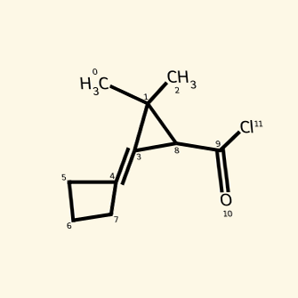 CC1(C)C(=C2CCC2)C1C(=O)Cl